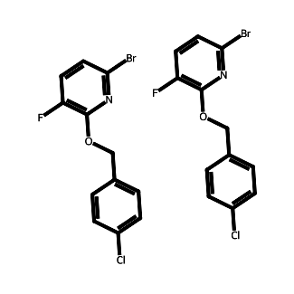 Fc1ccc(Br)nc1OCc1ccc(Cl)cc1.Fc1ccc(Br)nc1OCc1ccc(Cl)cc1